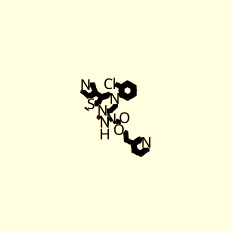 CS1=C2C(=CN(c3ccccc3Cl)CC3N2CNN3C(=O)OCCc2cccnc2)C2=C1C=NC2